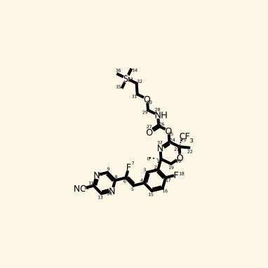 C[C@@]1(c2cc(/C=C(\F)c3cnc(C#N)cn3)ccc2F)CO[C@@](C)(C(F)(F)F)C(OC(=O)NCOCC[Si](C)(C)C)=N1